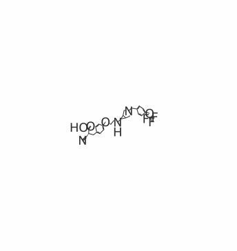 N#C[C@H](Cc1ccc(OCCNC2C3CN(Cc4ccc(OC(F)(F)F)cc4)CC32)cc1)C(=O)O